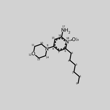 CCCCCCc1cc(N2CCOCC2)cc(N)[n+]1[O-]